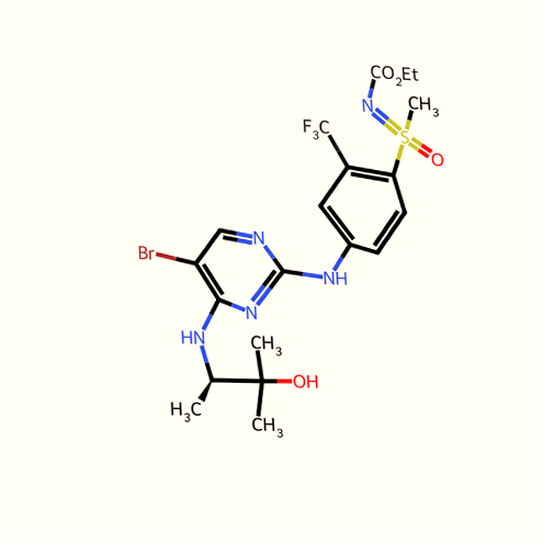 CCOC(=O)N=S(C)(=O)c1ccc(Nc2ncc(Br)c(N[C@H](C)C(C)(C)O)n2)cc1C(F)(F)F